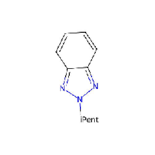 CCCC(C)n1nc2ccccc2n1